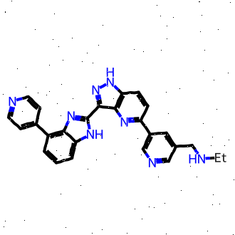 CCNCc1cncc(-c2ccc3[nH]nc(-c4nc5c(-c6ccncc6)cccc5[nH]4)c3n2)c1